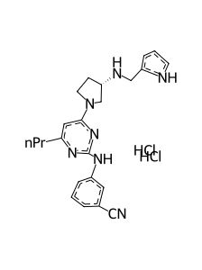 CCCc1cc(N2CC[C@H](NCc3ccc[nH]3)C2)nc(Nc2cccc(C#N)c2)n1.Cl.Cl